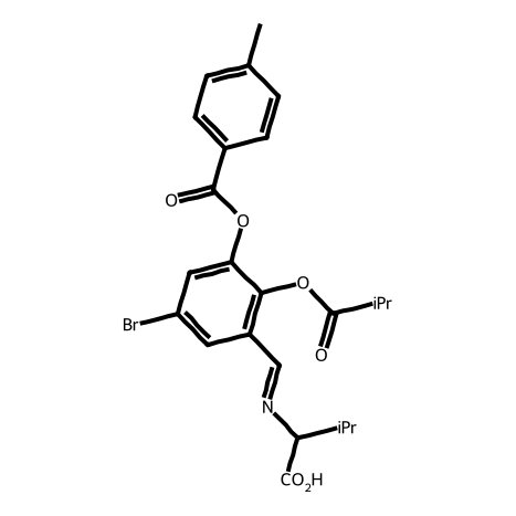 Cc1ccc(C(=O)Oc2cc(Br)cc(C=NC(C(=O)O)C(C)C)c2OC(=O)C(C)C)cc1